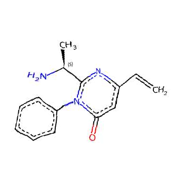 C=Cc1cc(=O)n(-c2ccccc2)c([C@H](C)N)n1